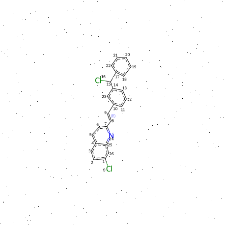 Clc1ccc2ccc(/C=C/c3cccc(C(Cl)c4ccccc4)c3)nc2c1